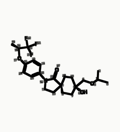 CC(C)OC[C@]1(O)CC[C@]2(CCN(c3ccc(O[C@@H](C)C(F)(F)F)cc3)C2=O)CC1